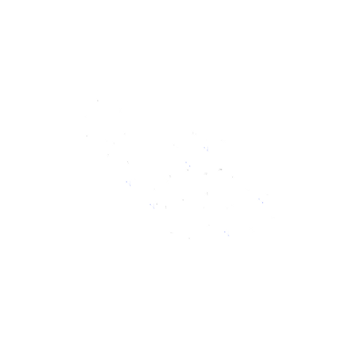 CN(c1ccc(NC(=S)NC(=O)Cc2ccccc2)cc1F)c1ccnc2cc(-c3nccn3C)sc12